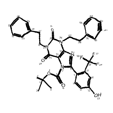 CC(C)(C)OC(=O)n1c(-c2ccc(O)cc2C(F)(F)F)nc2c1c(=O)n(CCc1ccccc1)c(=O)n2CCc1ccccc1